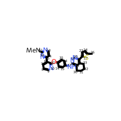 CNc1nccc(-c2cccnc2Oc2ccc(Nc3nnc(-c4ccc(C)s4)c4c3CCCC4)cc2)n1